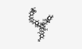 COC(=O)[C@H](Cc1ccc(C#N)cc1)Nc1nc(NCc2nc3cc(F)ccc3[nH]2)nc(Nc2cccc(CN3CCN(CC4CCN(S(C)(=O)=O)CC4)CC3)c2)n1